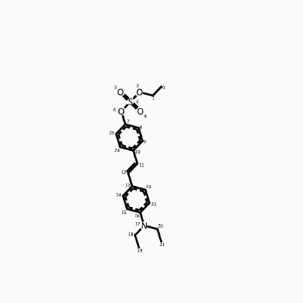 CCOS(=O)(=O)Oc1ccc(/C=C/c2ccc(N(CC)CC)cc2)cc1